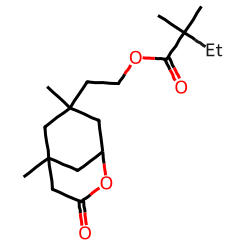 CCC(C)(C)C(=O)OCCC1(C)CC2CC(C)(CC(=O)O2)C1